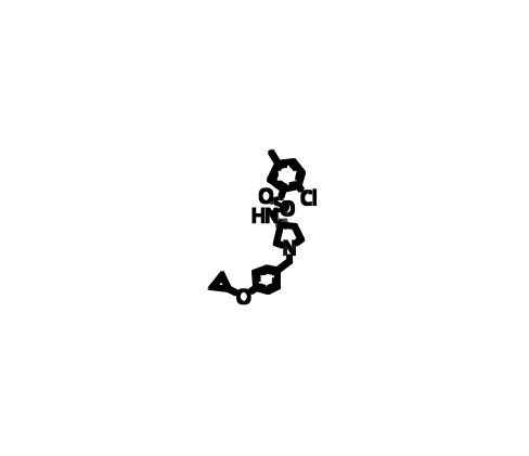 Cc1ccc(Cl)c(S(=O)(=O)N[C@@H]2CCN(Cc3ccc(OC4CC4)cc3)C2)c1